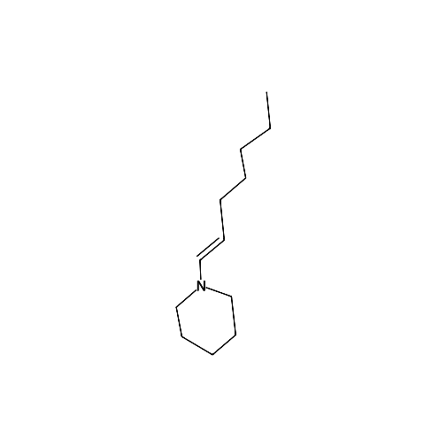 CCCCCC=CN1CCCCC1